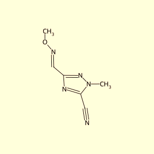 CON=Cc1nc(C#N)n(C)n1